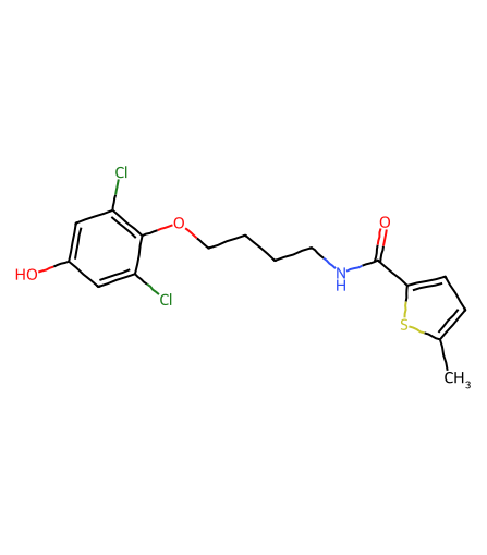 Cc1ccc(C(=O)NCCCCOc2c(Cl)cc(O)cc2Cl)s1